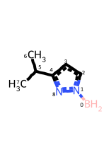 Bn1ccc(C(C)C)n1